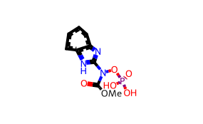 COC(=O)N(OP(=O)(O)O)c1nc2ccccc2[nH]1